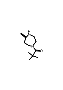 C=C1CCN(C(=O)C(C)(C)C)CCN1